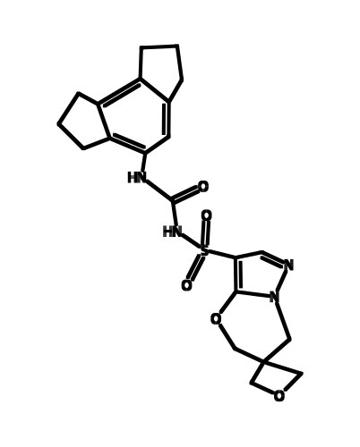 O=C(Nc1cc2c(c3c1CCC3)CCC2)NS(=O)(=O)c1cnn2c1OCC1(COC1)C2